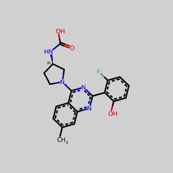 Cc1ccc2c(N3CC[C@@H](NC(=O)O)C3)nc(-c3c(O)cccc3F)nc2c1